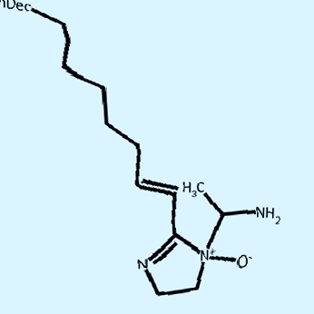 CCCCCCCCCCCCCCCC=CC1=NCC[N+]1([O-])C(C)N